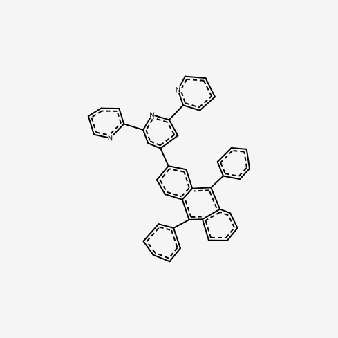 c1ccc(-c2c3ccccc3c(-c3ccccc3)c3cc(-c4cc(-c5ccccn5)nc(-c5ccccn5)c4)ccc23)cc1